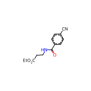 CCOC(=O)CCNC(=O)c1ccc(C#N)cc1